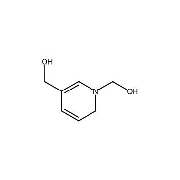 OCC1=CN(CO)CC=C1